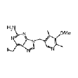 COc1c(C)ncc(Cn2cnc3c(CI)nc(N)nc32)c1C